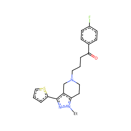 CCn1nc(-c2cccs2)c2c1CCN(CCCC(=O)c1ccc(F)cc1)C2